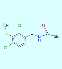 CC(C)(C)C(=O)NCc1ccc(Cl)c(SC#N)c1Cl